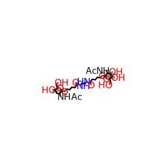 CC(=O)NC1C[C@@H](O)C(CO)O[C@H]1OCCCCC(=O)NCCNC(=O)CCCCO[C@@H]1OC(CO)[C@H](O)[C@H](O)C1NC(C)=O